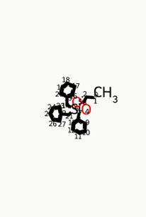 CC[CH]C(=O)O[Si](Cc1ccccc1)(Cc1ccccc1)Cc1ccccc1